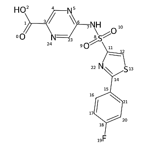 O=C(O)c1cnc(NS(=O)(=O)c2csc(-c3ccc(F)cc3)n2)cn1